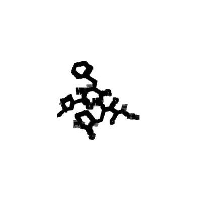 Cn1cc(C(=O)N[C@@H](Cc2ccccc2)C(=O)NC(C[C@@H]2CCNC2=O)C(=O)C(=O)NC(C)(C)C)cn1